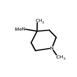 CNC1(C)CCN(C)CC1